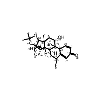 CC(=O)OCC(=O)[C@@]12OC(C)(C)O[C@@H]1C[C@H]1[C@@H]3C[C@H](F)C4=CC(=O)C=C[C@]4(C)[C@@]3(Br)[C@@H](O)C[C@@]12C